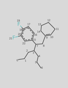 CCCC(CCC)C(CC1=CCCCC1)c1ccc(F)c(F)c1